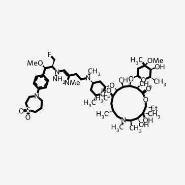 CC[C@H]1OC(=O)[C@H](C)[C@@H](O[C@H]2C[C@@](C)(OC)[C@@H](O)[C@H](C)O2)[C@H](C)[C@@H](O[C@H]2C[C@@H](N(C)CC/C(=C/N(N)[C@H](CF)[C@H](OC)c3ccc(N4CCCS(=O)(=O)CC4)cc3)NC)C[C@@H](C)O2)[C@](C)(O)C[C@@H](C)CN(C)[C@H](C)[C@@H](O)[C@]1(C)O